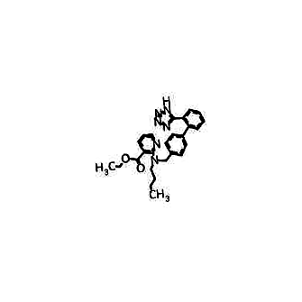 CCCCN(Cc1ccc(-c2ccccc2-c2nnn[nH]2)cc1)c1ncccc1C(=O)OCC